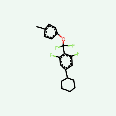 Cc1ccc(OC(F)(F)c2c(F)cc(C3CCCCC3)cc2F)cc1